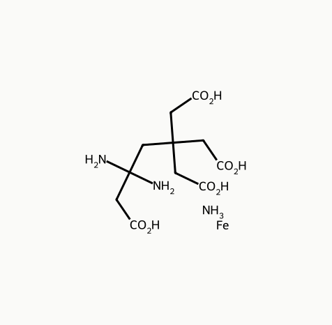 N.NC(N)(CC(=O)O)CC(CC(=O)O)(CC(=O)O)CC(=O)O.[Fe]